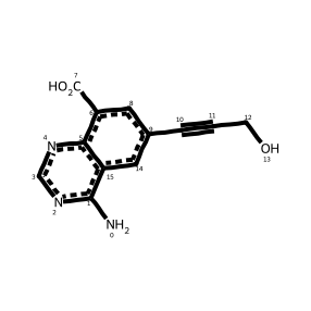 Nc1ncnc2c(C(=O)O)cc(C#CCO)cc12